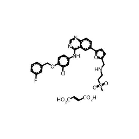 CS(=O)(=O)CCNCc1ccc(-c2ccc3ncnc(Nc4ccc(OCc5cccc(F)c5)c(Cl)c4)c3c2)o1.O=C(O)C=CC(=O)O